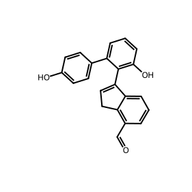 O=Cc1cccc2c1CC=C2c1c(O)cccc1-c1ccc(O)cc1